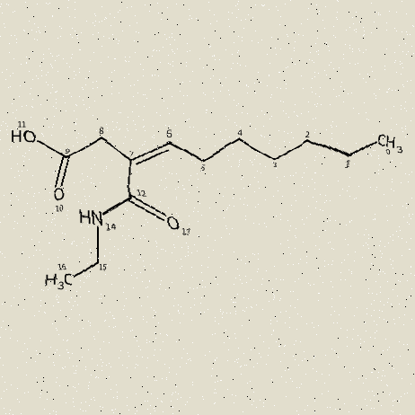 CCCCCCC=C(CC(=O)O)C(=O)NCC